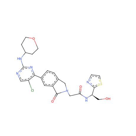 O=C(CN1Cc2ccc(-c3nc(NC4CCOCC4)ncc3Cl)cc2C1=O)N[C@H](CO)c1nccs1